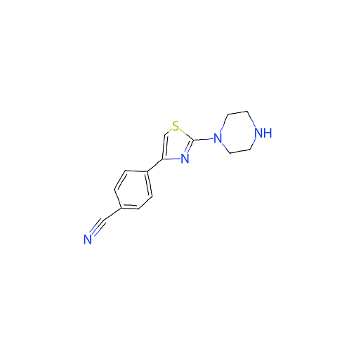 N#Cc1ccc(-c2csc(N3CCNCC3)n2)cc1